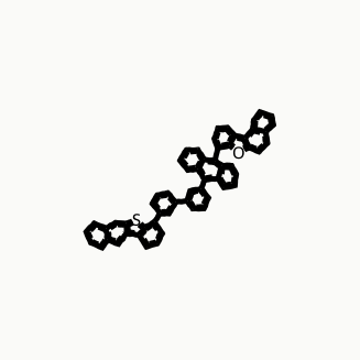 c1cc(-c2cccc(-c3cccc4c3sc3cc5ccccc5cc34)c2)cc(-c2c3ccccc3c(-c3cccc4c3oc3ccc5ccccc5c34)c3ccccc23)c1